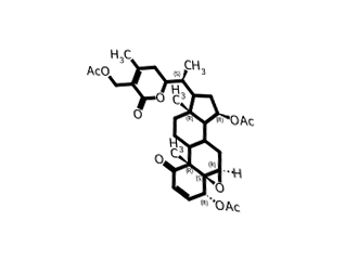 CC(=O)OCC1=C(C)CC([C@@H](C)C2C[C@@H](OC(C)=O)C3C4C[C@H]5O[C@]56[C@H](OC(C)=O)C=CC(=O)[C@]6(C)C4CC[C@]23C)OC1=O